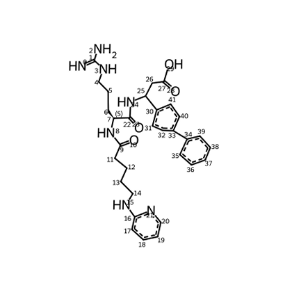 N=C(N)NCCC[C@H](NC(=O)CCCCNc1ccccn1)C(=O)NC(CC(=O)O)c1ccc(-c2ccccc2)cc1